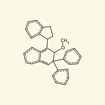 COC1C(C2CCc3ccccc32)=c2ccccc2=CC1(c1ccccc1)c1ccccc1